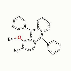 CCOc1c(CC)ccc2c(-c3ccccc3)c3ccccc3c(-c3ccccc3)c12